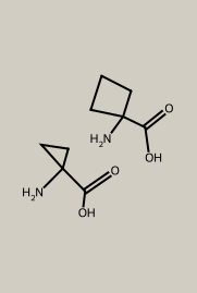 NC1(C(=O)O)CC1.NC1(C(=O)O)CCC1